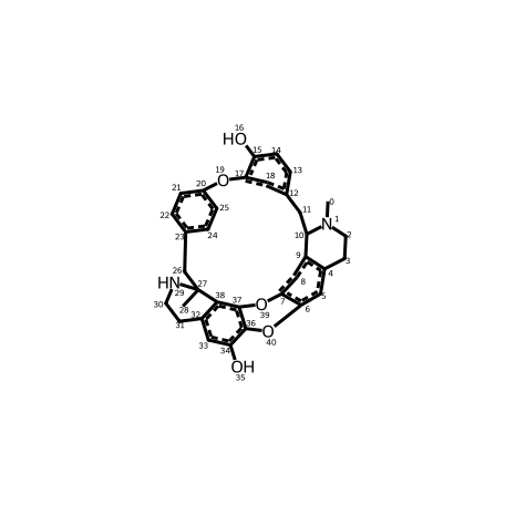 CN1CCc2cc3c4cc2C1Cc1ccc(O)c(c1)Oc1ccc(cc1)CC1(C)NCCc2cc(O)c(c(c21)O4)O3